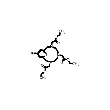 CCOC(=O)CN1CCN(CC(=O)OCC)Cc2cc(Br)cc(n2)CN(CC(=O)OCC)CC1